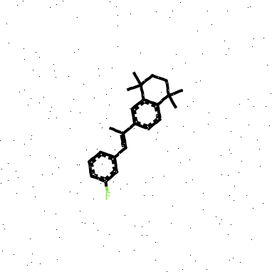 CC(=Cc1cccc(F)c1)c1ccc2c(c1)C(C)(C)CCC2(C)C